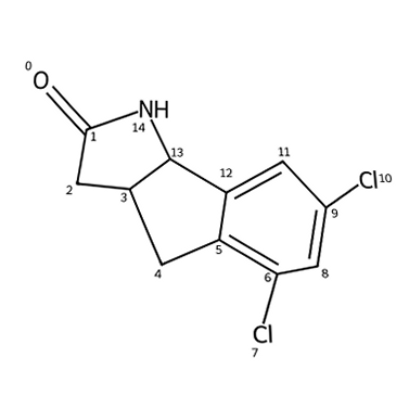 O=C1CC2Cc3c(Cl)cc(Cl)cc3C2N1